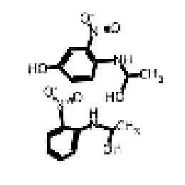 CC(O)Nc1ccc(O)cc1[N+](=O)[O-].CC(O)Nc1ccccc1[N+](=O)[O-]